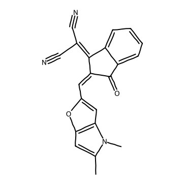 Cc1cc2oc(/C=C3\C(=O)c4ccccc4C3=C(C#N)C#N)cc2n1C